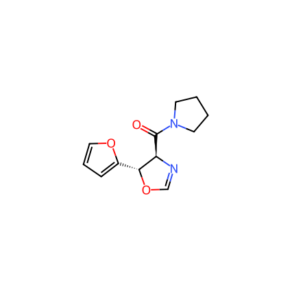 O=C([C@H]1N=CO[C@@H]1c1ccco1)N1CCCC1